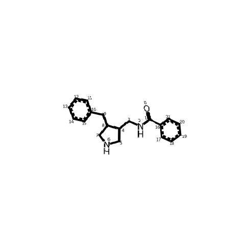 O=C(NCC1CNCC1Cc1ccccc1)c1ccccc1